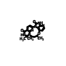 C[C@@H]1CCN2c3nc(ccc3C(=O)NC2(C)C)-n2c(=O)[nH]c3nccc(c32)O1